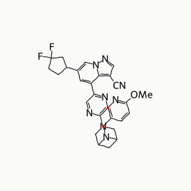 COc1ccc(CN2C3CC2CN(c2cnc(-c4cc(C5CCC(F)(F)C5)cn5ncc(C#N)c45)cn2)C3)cn1